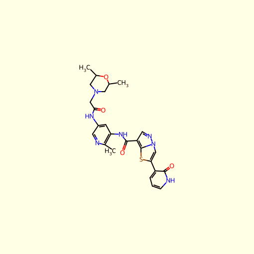 Cc1ncc(NC(=O)CN2CC(C)OC(C)C2)cc1NC(=O)c1cnn2cc(-c3ccc[nH]c3=O)sc12